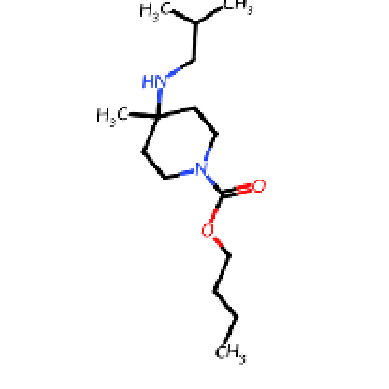 CCCCOC(=O)N1CCC(C)(NCC(C)C)CC1